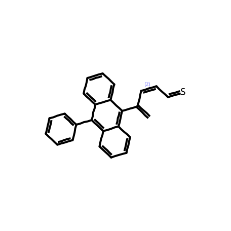 C=C(/C=C\C=S)c1c2ccccc2c(-c2ccccc2)c2ccccc12